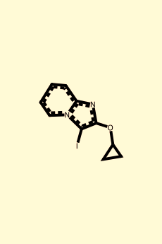 Ic1c(OC2CC2)nc2ccccn12